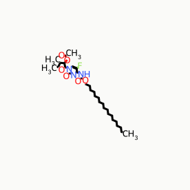 CCCCCCCCCCCCCCCCCCOC(=O)Nc1nc(=O)n(C2OC(C)C(C)C2OC(C)=O)cc1F